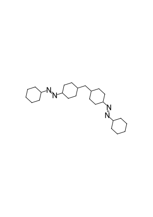 C1CCC(N=NC2CCC(CC3CCC(N=NC4CCCCC4)CC3)CC2)CC1